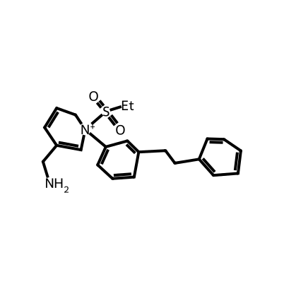 CCS(=O)(=O)[N+]1(c2cccc(CCc3ccccc3)c2)C=C(CN)C=CC1